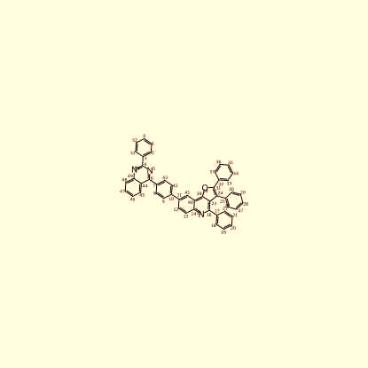 c1ccc(-c2nc(-c3ccc(-c4ccc5nc(-c6ccccc6)c6c(-c7ccccc7)c(-c7ccccc7)oc6c5c4)cc3)c3ccccc3n2)cc1